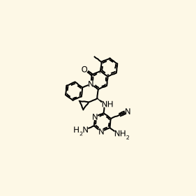 Cc1cccc2cc([C@@H](Nc3nc(N)nc(N)c3C#N)C3CC3)n(-c3ccccc3)c(=O)c12